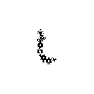 CCOc1cncc(-c2ccc(CN3CCN(c4ccc(C(=O)NS(=O)(=O)CCC(F)(F)F)cc4)CC3)cc2C)c1